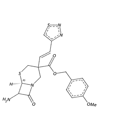 COc1ccc(COC(=O)C2(C=Cc3csnn3)CS[C@@H]3C(N)C(=O)N3C2)cc1